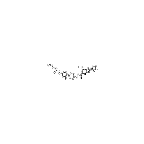 NCCNC(=O)COc1ccc(N2CCN(CCNc3nc(N)n4nc(-c5ccco5)nc4n3)CC2)c(F)c1